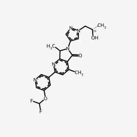 Cc1cc(-c2cncc(OC(F)F)c2)nc2c1C(=O)N(c1cnn(C[C@H](C)O)c1)C2C